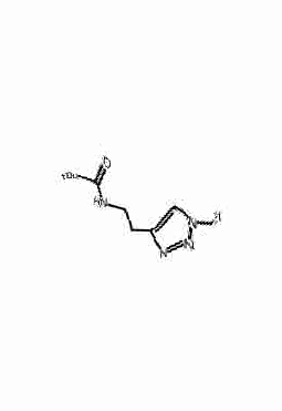 CCn1cc(CCNC(=O)C(C)(C)C)nn1